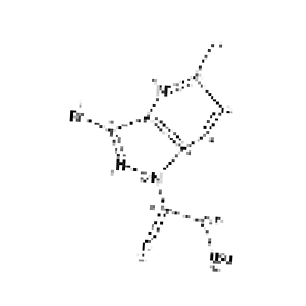 Cc1ccc2c(n1)c(Br)nn2C(=O)OC(C)(C)C